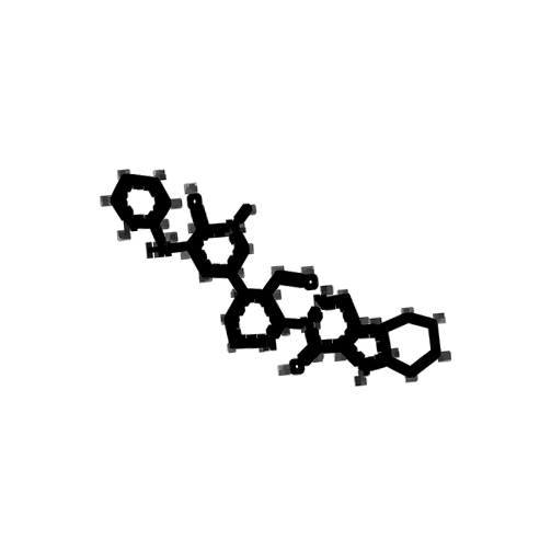 Cn1cc(-c2ccnc(-n3ncc4c5c(sc4c3=O)CCCC5)c2C=O)cc(Nc2ccccn2)c1=O